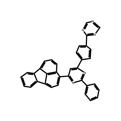 c1ccc(-c2nc(-c3ccc(-c4ncncn4)cc3)cc(-c3ccc4c5c(cccc35)-c3ccccc3-4)n2)cc1